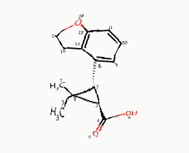 CC1(C)[C@H](C(=O)O)[C@H]1c1cccc2c1CCO2